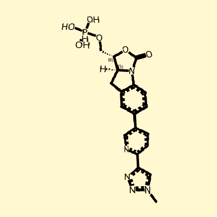 Cn1cc(-c2ccc(-c3ccc4c(c3)C[C@H]3[C@H](CO[PH](O)(O)O)OC(=O)N43)cn2)nn1